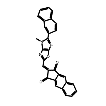 Cn1c(-c2ccc3ccccc3c2)nc2oc(C=C3C(=O)c4cc5ccccc5cc4C3=O)nc21